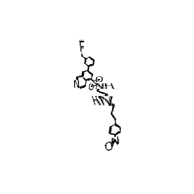 O=Nc1ccc(CCCNCCNS(=O)(=O)c2cc(-c3cccc(CF)c3)cc3cnccc23)cc1